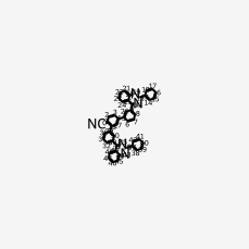 N#Cc1ccc(-c2cccc(-c3nc(-c4ccccc4)nc4ccccc34)c2)cc1-c1cccc(-c2nc(-c3ccccc3)nc3ccccc23)c1